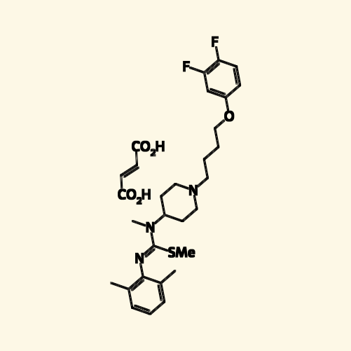 CSC(=Nc1c(C)cccc1C)N(C)C1CCN(CCCCOc2ccc(F)c(F)c2)CC1.O=C(O)/C=C/C(=O)O